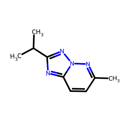 Cc1ccc2nc(C(C)C)nn2n1